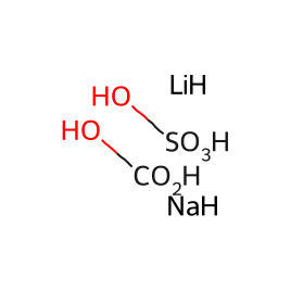 O=C(O)O.O=S(=O)(O)O.[LiH].[NaH]